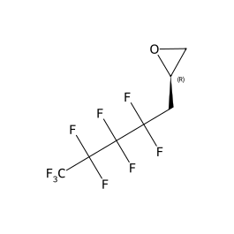 FC(F)(F)C(F)(F)C(F)(F)C(F)(F)C[C@@H]1CO1